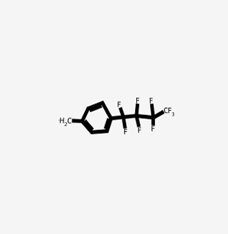 [CH2]c1ccc(C(F)(F)C(F)(F)C(F)(F)C(F)(F)F)cc1